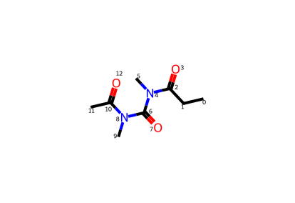 CCC(=O)N(C)C(=O)N(C)C(C)=O